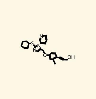 Cc1cc(OCc2cnc(SC3C=CCCC3)n2-c2cccnc2)ccc1C#CCO